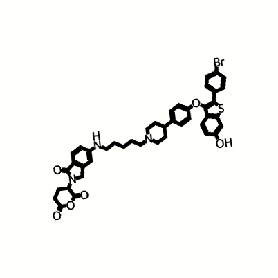 O=C1CCC(N2Cc3cc(NCCCCCN4CCC(c5ccc(Oc6c(-c7ccc(Br)cc7)sc7cc(O)ccc67)cc5)CC4)ccc3C2=O)C(=O)O1